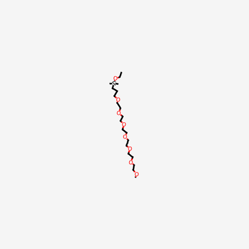 CCO[Si](C)(C)CCCOCCOCCOCCOCCOCCOCCOC